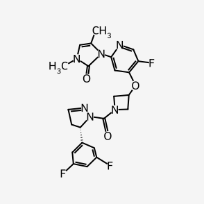 Cc1cn(C)c(=O)n1-c1cc(OC2CN(C(=O)N3N=CC[C@H]3c3cc(F)cc(F)c3)C2)c(F)cn1